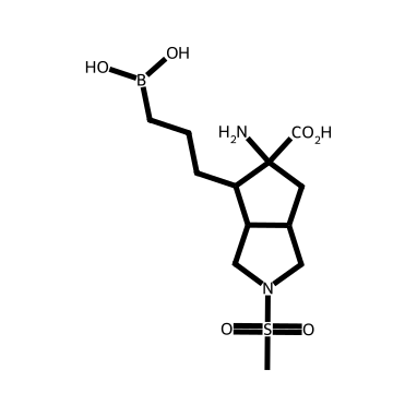 CS(=O)(=O)N1CC2CC(N)(C(=O)O)C(CCCB(O)O)C2C1